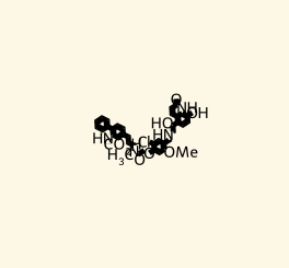 COc1cc(OCC(=O)N(C)CCCc2ccc(-c3ccccc3)c(NC(=O)O)c2)c(Cl)cc1CNCC(O)c1ccc(O)c2[nH]c(=O)ccc12